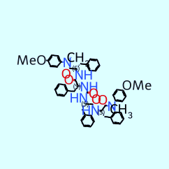 COc1ccc(N(C)C(=O)[C@H](Cc2ccccc2)NC(=O)[C@H](Cc2ccccc2)NC(=O)N[C@@H](Cc2ccccc2)C(=O)N[C@@H](Cc2ccccc2)C(=O)N(C)c2ccc(OC)cc2)cc1